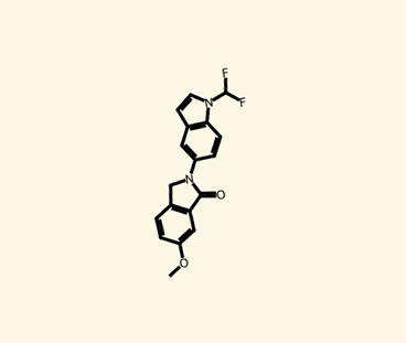 COc1ccc2c(c1)C(=O)N(c1ccc3c(ccn3C(F)F)c1)C2